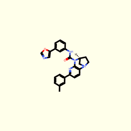 Cc1cccc(-c2ccc3c(n2)N(C(=O)Nc2cccc(-c4cnco4)c2)[C@H]2CCN3C2)c1